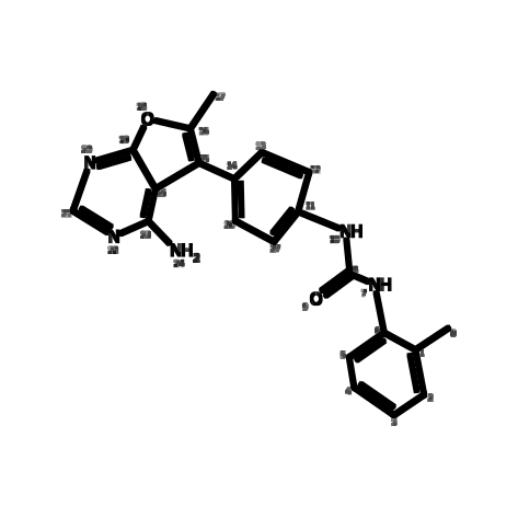 Cc1ccccc1NC(=O)Nc1ccc(-c2c(C)oc3ncnc(N)c23)cc1